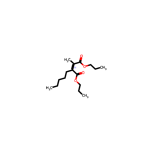 CCCCC/C(C(=O)OCCC)=C(\C)C(=O)OCCC